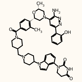 Cc1cc(C(=O)N2CCC(CN3CCC(n4ccc5c(N6CCC(=O)NC6=O)cccc54)CC3)CC2)ccc1[C@H]1CN(c2cc(-c3ccccc3O)nnc2N)C[C@@H](C)O1